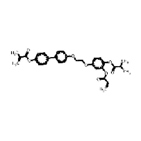 C=CC(=O)Oc1cc(OCCOc2ccc(-c3ccc(OC(=O)C(=C)C)cc3)cc2)ccc1OC(=O)C(C)C